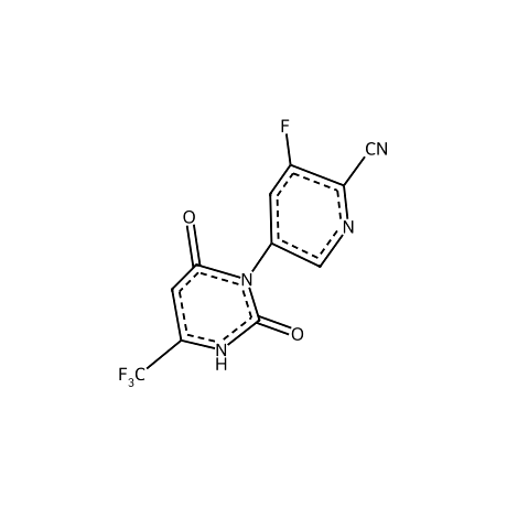 N#Cc1ncc(-n2c(=O)cc(C(F)(F)F)[nH]c2=O)cc1F